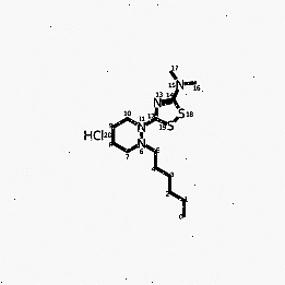 CCCCCCN1CCCCN1C1N=C(N(C)C)SS1.Cl